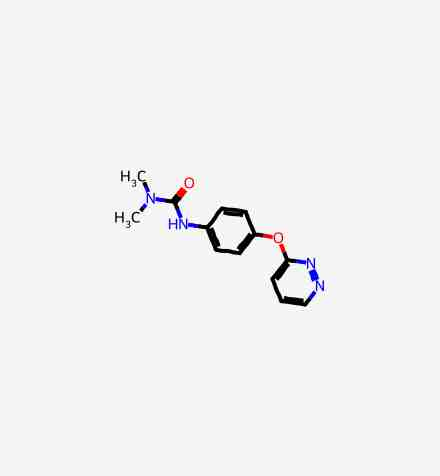 CN(C)C(=O)Nc1ccc(Oc2cccnn2)cc1